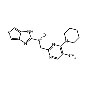 [O-][S+](Cc1ncc(C(F)(F)F)c(N2CCCCC2)n1)c1nc2cscc2[nH]1